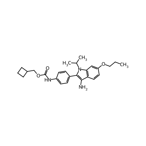 CCCOc1ccc2c(N)c(-c3ccc(NC(=O)OCC4CCC4)cc3)n(C(C)C)c2c1